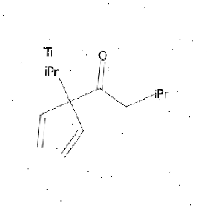 C=CC(C=C)(C(=O)CC(C)C)C(C)C.[Ti]